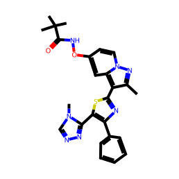 Cc1nn2ccc(ONC(=O)C(C)(C)C)cc2c1-c1nc(-c2ccccc2)c(-c2nncn2C)s1